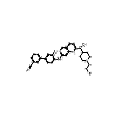 N#Cc1cccc(-c2ccc(Nc3cc4nc([C@@H](O)C5CCN(CCO)CC5)ccc4cn3)c(F)c2)c1